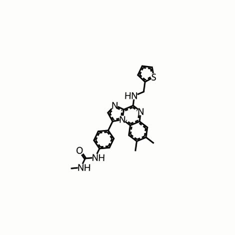 CNC(=O)Nc1ccc(-c2cnc3c(NCc4cccs4)nc4cc(C)c(C)cc4n23)cc1